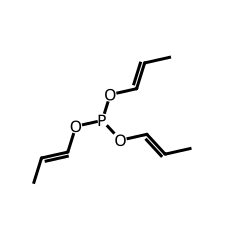 CC=COP(OC=CC)OC=CC